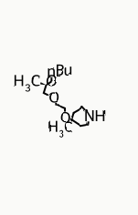 CCCCO[C@H](C)COCCOC1(C)CCNCC1